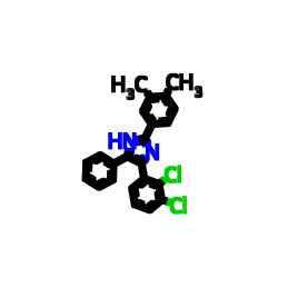 Cc1ccc(-c2nc(-c3cccc(Cl)c3Cl)c(-c3ccccc3)[nH]2)cc1C